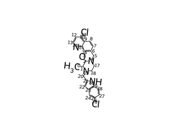 CC1C(=O)N(Cc2ccc3c(Cl)ccnc3c2)CCN1Cc1cc2cc(Cl)ccc2[nH]1